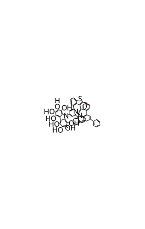 Oc1c(O)c(O)c2c(c1O)c1c(O)c(O)c(O)c(O)c1n2-c1cc(-c2ccccc2)nc(-c2cccc3sc4c(c23)C(=Cn2c3ccccc3c3cc(-c5ccccc5)cc(-c5ccccc5)c32)CC=C4)c1